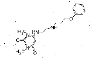 Cn1c(NCCNCCCOc2ccccc2)cc(=O)n(C)c1=O